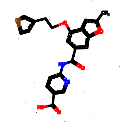 Cc1cc2c(OCCc3ccsc3)cc(C(=O)Nc3ccc(C(=O)O)cn3)cc2o1